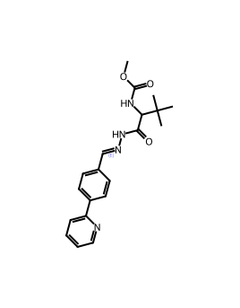 COC(=O)NC(C(=O)N/N=C/c1ccc(-c2ccccn2)cc1)C(C)(C)C